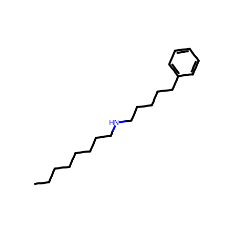 CCCCCCCCNCCCCCc1ccccc1